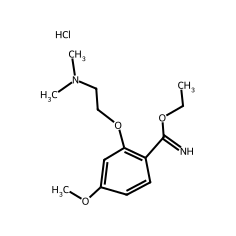 CCOC(=N)c1ccc(OC)cc1OCCN(C)C.Cl